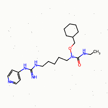 CCNC(=O)N(CCCCCNC(=N)Nc1ccncc1)OCC1CCCCC1